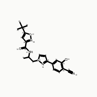 CC(Cn1ccc(-c2ccc(C#N)c(Cl)c2)n1)NC(=O)c1cc(C(C)(C)C)on1